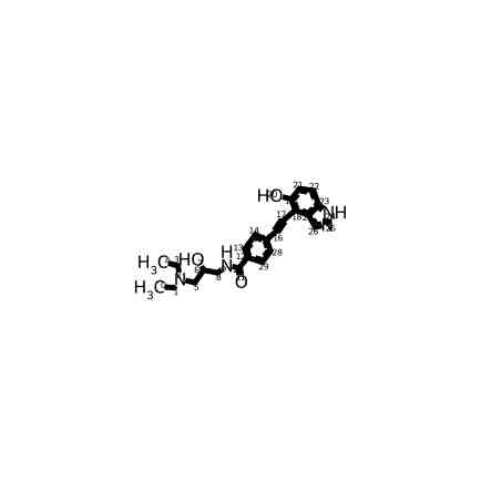 CCN(CC)CC(O)CNC(=O)c1ccc(C#Cc2c(O)ccc3[nH]ncc23)cc1